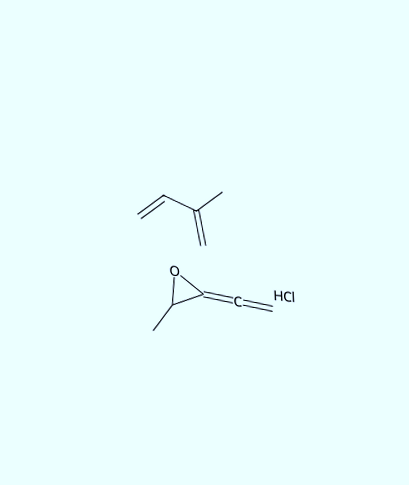 C=C=C1OC1C.C=CC(=C)C.Cl